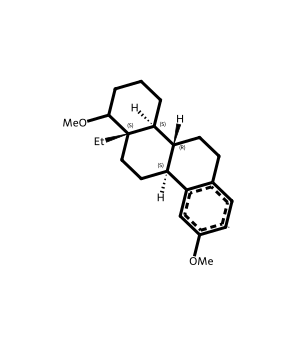 CC[C@]12CC[C@@H]3c4cc(OC)[c]cc4CC[C@H]3[C@@H]1CCCC2OC